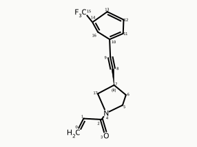 C=CC(=O)N1CC[C@H](C#Cc2cccc(C(F)(F)F)c2)C1